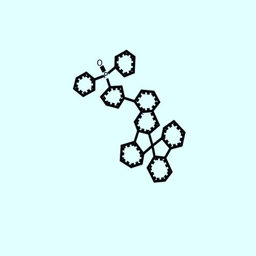 O=P(c1ccccc1)(c1ccccc1)c1cccc(-c2cccc3cc4c(cc23)-c2ccccc2C42c3ccccc3-c3ccccc32)c1